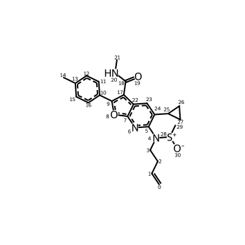 C=CCCN(c1nc2oc(-c3ccc(C)cc3)c(C(=O)NC)c2cc1C1CC1)[S+](C)[O-]